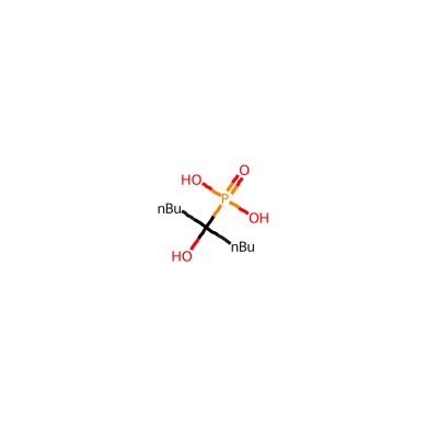 CCCCC(O)(CCCC)P(=O)(O)O